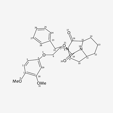 COc1ccc(OCCN2CCC3CCCC(C2=O)N3C(=O)OCc2ccccc2)cc1OC